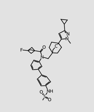 Cn1nc(C2CC2)cc1C12CCC(CN(C(=O)C34CC(F)(C3)C4)c3cccc(-c4ccc(NS(C)(=O)=O)cc4)c3)(CC1)CC2